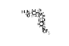 NC(=O)c1ccc(C(=O)N2CCC(Oc3cccc(OCC(F)(F)F)c3)CC2)cc1